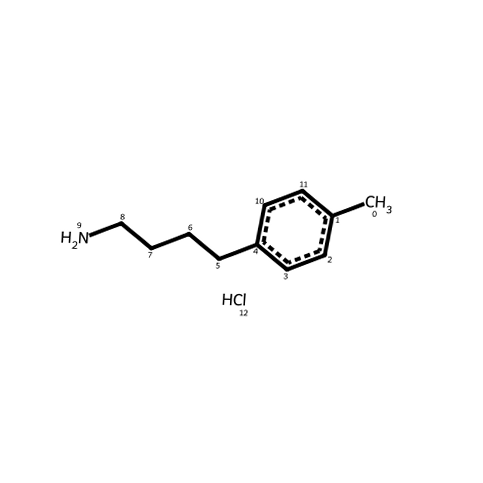 Cc1ccc(CCCCN)cc1.Cl